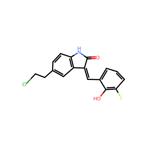 O=C1Nc2ccc(CCCl)cc2C1=Cc1cccc(F)c1O